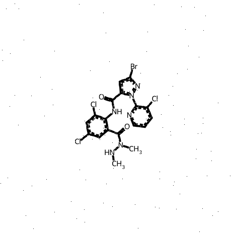 CNN(C)C(=O)c1cc(Cl)cc(Cl)c1NC(=O)c1cc(Br)nn1-c1ncccc1Cl